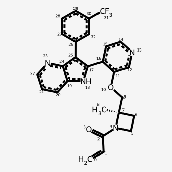 C=CC(=O)N1CC[C@]1(C)COc1cnccc1-c1[nH]c2cccnc2c1-c1cccc(C(F)(F)F)c1